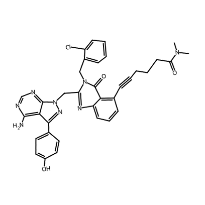 CN(C)C(=O)CCCC#Cc1cccc2nc(Cn3nc(-c4ccc(O)cc4)c4c(N)ncnc43)n(Cc3ccccc3Cl)c(=O)c12